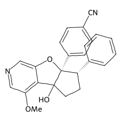 COc1cncc2c1C1(O)CC[C@@H](c3ccccc3)[C@]1(c1ccc(C#N)cc1)O2